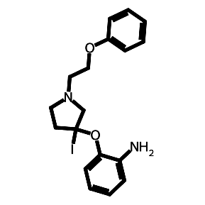 Nc1ccccc1OC1(I)CCN(CCOc2ccccc2)C1